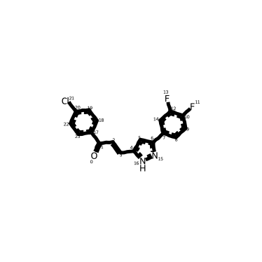 O=C(C=Cc1cc(-c2ccc(F)c(F)c2)n[nH]1)c1ccc(Cl)cc1